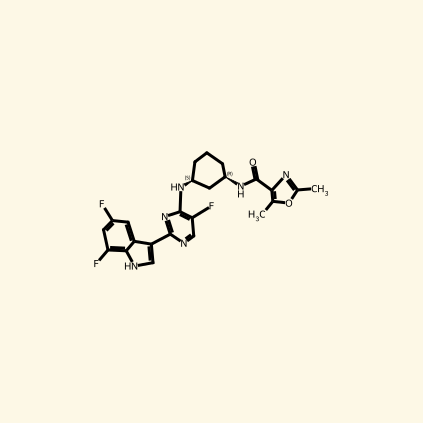 Cc1nc(C(=O)N[C@@H]2CCC[C@H](Nc3nc(-c4c[nH]c5c(F)cc(F)cc45)ncc3F)C2)c(C)o1